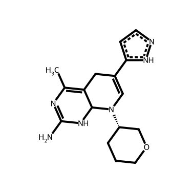 CC1=C2CC(c3ccn[nH]3)=CN([C@H]3CCCOC3)C2NC(N)=N1